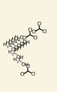 CO.CO.CO.CO.CO.CO.CO.ClC(Cl)Cl.ClC(Cl)Cl.ClC(Cl)Cl